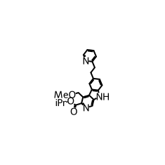 COCc1c(C(=O)OC(C)C)ncc2[nH]c3ccc(CCc4ccccn4)cc3c12